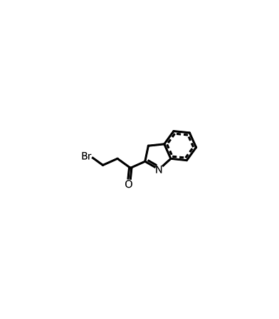 O=C(CCBr)C1=Nc2ccccc2C1